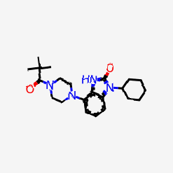 CC(C)(C)C(=O)N1CCN(c2cccc3c2[nH]c(=O)n3C2CCCCC2)CC1